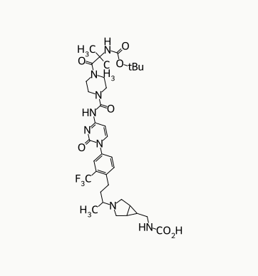 CC(CCc1ccc(-n2ccc(NC(=O)N3CCN(C(=O)C(C)(C)NC(=O)OC(C)(C)C)CC3)nc2=O)cc1C(F)(F)F)N1CC2C(CNC(=O)O)C2C1